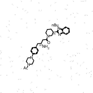 CCCCn1c([C@@H]2CCCN(C(=O)C[C@H](N)Cc3ccc(N4CCN(C(C)=O)CC4)cc3)C2)nc2ccccc21